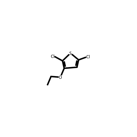 CCOc1cc(Cl)sc1Cl